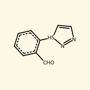 O=Cc1ccccc1[SH]1C=CN=N1